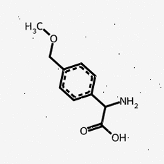 COCc1ccc(C(N)C(=O)O)cc1